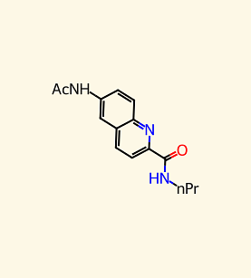 CCCNC(=O)c1ccc2cc(NC(C)=O)ccc2n1